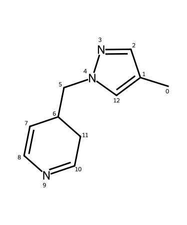 Cc1cnn(CC2C=CN=CC2)c1